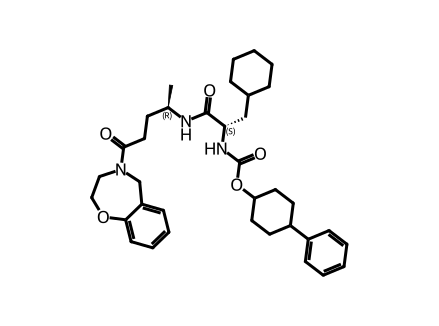 C[C@H](CCC(=O)N1CCOc2ccccc2C1)NC(=O)[C@H](CC1CCCCC1)NC(=O)OC1CCC(c2ccccc2)CC1